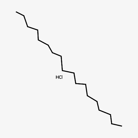 CCCCCCCCCCCCCCCCCC.Cl